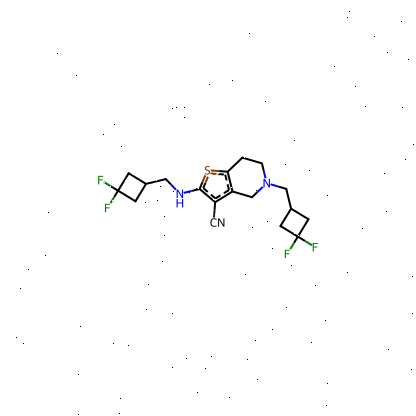 N#Cc1c(NCC2CC(F)(F)C2)sc2c1CN(CC1CC(F)(F)C1)CC2